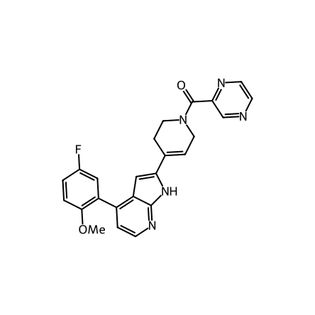 COc1ccc(F)cc1-c1ccnc2[nH]c(C3=CCN(C(=O)c4cnccn4)CC3)cc12